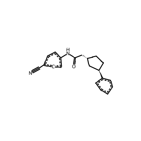 N#Cc1ccc(NC(=O)C[C@@H]2CC[C@@H](c3ccccc3)C2)cc1